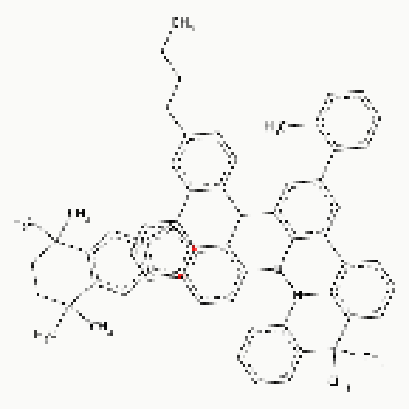 CCCCc1ccc(C2c3cc(-c4ccccc4C)cc4c3B(c3ccc5c(sc6cc7c(cc65)C(C)(C)CCC7(C)C)c32)N2c3ccccc3C(C)(C)c3cccc-4c32)c(-c2ccccc2)c1